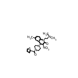 Cc1ccc2c(c1)c(N1CCN(C(=O)c3cccs3)CC1)c([N+](=O)[O-])c(=O)n2CCN(C)C